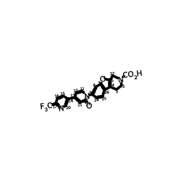 O=C(O)N1CCc2c(oc3cc(-n4ccc(-c5ccc(C(F)(F)F)nc5)cc4=O)ccc23)C1